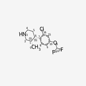 C[C@@H]1CNCC[C@@H]1c1ccc(OC(F)F)cc1Cl